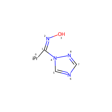 CC(C)/C(=N/O)n1cncn1